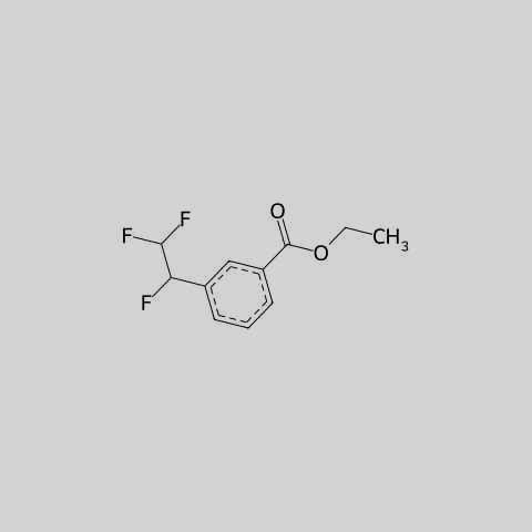 CCOC(=O)c1cccc(C(F)C(F)F)c1